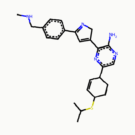 CNCc1ccc(C2=NCC(c3nc(C4C=CC(SC(C)C)CC4)cnc3N)=C2)cc1